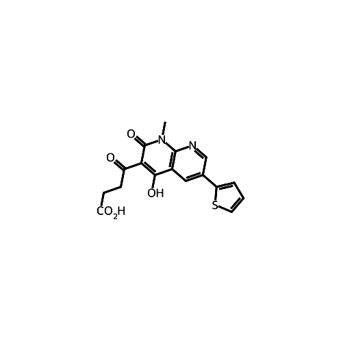 Cn1c(=O)c(C(=O)CCC(=O)O)c(O)c2cc(-c3cccs3)cnc21